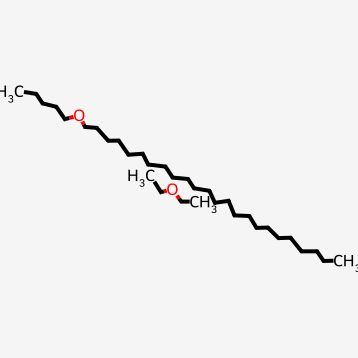 CCCCCCCCCCCCCCCCCCCCCCCCOCCCCC.CCOCC